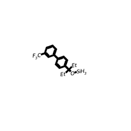 CCC(CC)(O[SiH3])c1ccc(-c2cccc(C(F)(F)F)c2)cc1